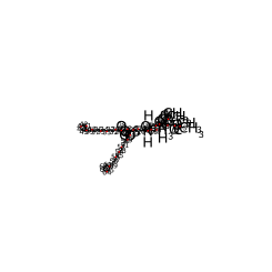 CC(C)(C)OC(=O)CC[C@H](NC(=O)c1ccc(NC(=O)CCSCC(COC(=O)CCCCCCCCCCCc2ccccc2)OC(=O)CCCCCCCCCCCc2ccccc2)cc1)C(=O)OC(C)(C)C